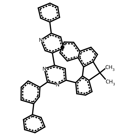 CC1(C)c2cccc(-c3cc(-c4ccc(-c5ccccc5)nc4)nc(-c4cccc(-c5ccccc5)c4)n3)c2-c2c1ccc1ccccc21